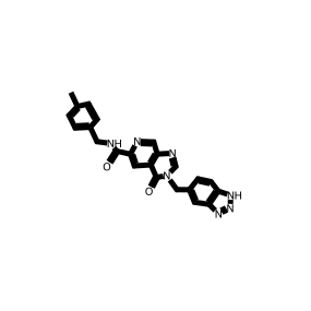 Cc1ccc(CNC(=O)c2cc3c(=O)n(Cc4ccc5[nH]nnc5c4)cnc3cn2)cc1